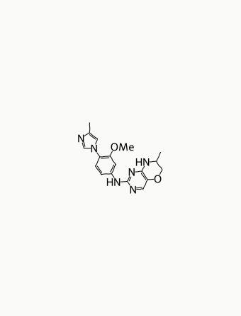 COc1cc(Nc2ncc3c(n2)NC(C)CO3)ccc1-n1cnc(C)c1